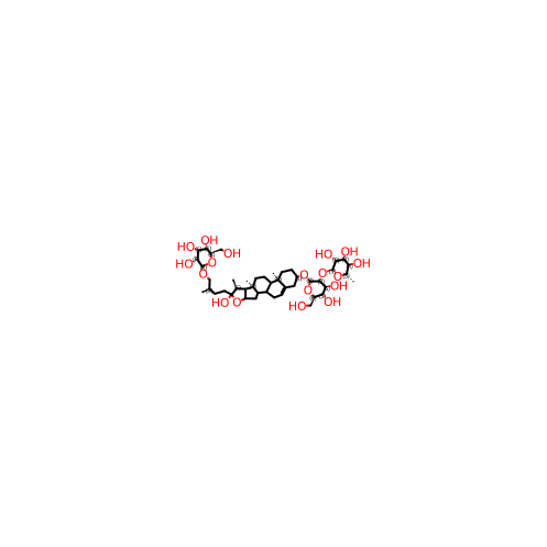 C[C@H](CCC1(O)OC2CC3C4CC=C5C[C@@H](O[C@@H]6O[C@H](CO)[C@@H](O)[C@H](O)[C@H]6O[C@@H]6O[C@@H](C)[C@H](O)[C@@H](O)[C@H]6O)CC[C@]5(C)C4CC[C@]3(C)C2[C@@H]1C)CO[C@@H]1O[C@H](CO)[C@@H](O)[C@H](O)[C@H]1O